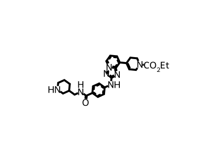 CCOC(=O)N1CC=C(c2cccn3nc(Nc4ccc(C(=O)NCC5CCCNC5)cc4)nc23)CC1